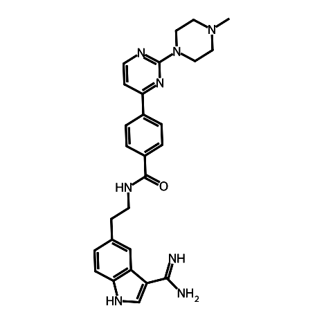 CN1CCN(c2nccc(-c3ccc(C(=O)NCCc4ccc5[nH]cc(C(=N)N)c5c4)cc3)n2)CC1